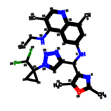 Cc1nc(C(Nc2cc(C#N)c3ncc(C#N)c(NCC(C)(C)C)c3c2)c2cn(C3(C(F)F)CC3)nn2)c(C)o1